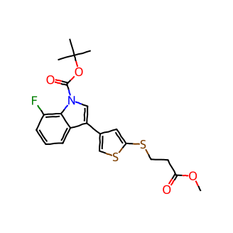 COC(=O)CCSc1cc(-c2cn(C(=O)OC(C)(C)C)c3c(F)cccc23)cs1